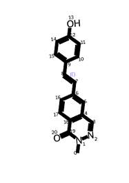 Cn1ncc2cc(/C=C/c3ccc(O)cc3)ccc2c1=O